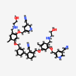 Cc1cc(CNCCO)c(OCc2cncc(C#N)c2)cc1OCc1cccc(-c2cccc(COc3cc(OCc4cncc(C#N)c4)c(CNCCO)cc3C)c2C#N)c1